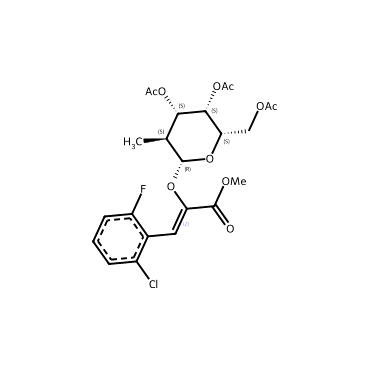 COC(=O)/C(=C/c1c(F)cccc1Cl)O[C@H]1O[C@@H](COC(C)=O)[C@@H](OC(C)=O)[C@@H](OC(C)=O)[C@@H]1C